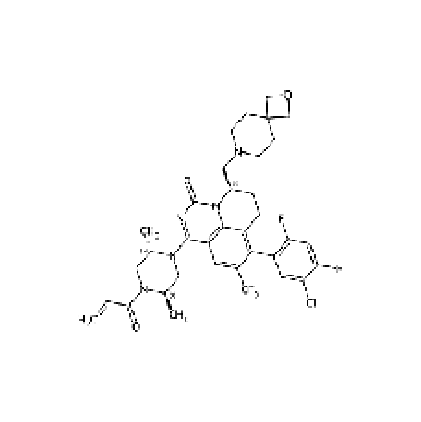 C=CC(=O)N1C[C@H](C)N(c2nc(=O)n3c4c(c(-c5cc(Cl)c(F)cc5F)c(C(F)(F)F)cc24)CC[C@@H]3CN2CCC3(CC2)COC3)C[C@H]1C